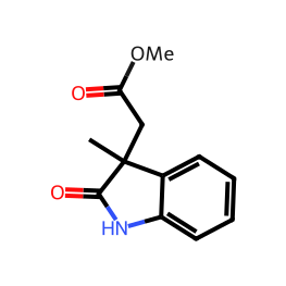 COC(=O)CC1(C)C(=O)Nc2ccccc21